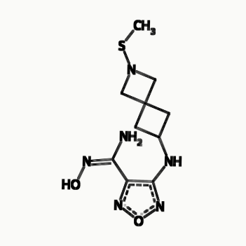 CSN1CC2(CC(Nc3nonc3/C(N)=N\O)C2)C1